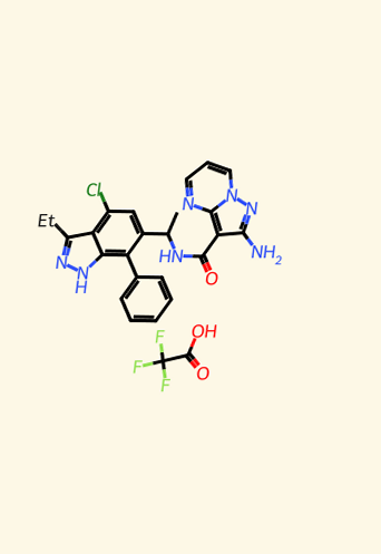 CCc1n[nH]c2c(-c3ccccc3)c(C(C)NC(=O)c3c(N)nn4cccnc34)cc(Cl)c12.O=C(O)C(F)(F)F